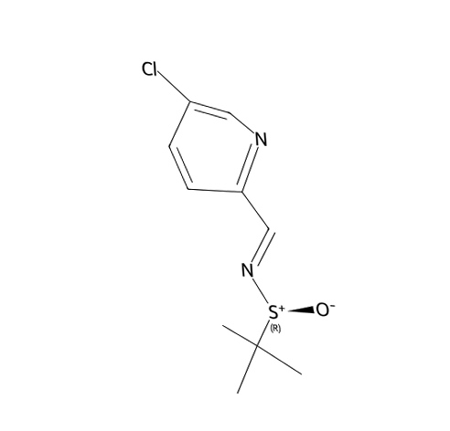 CC(C)(C)[S@+]([O-])N=Cc1ccc(Cl)cn1